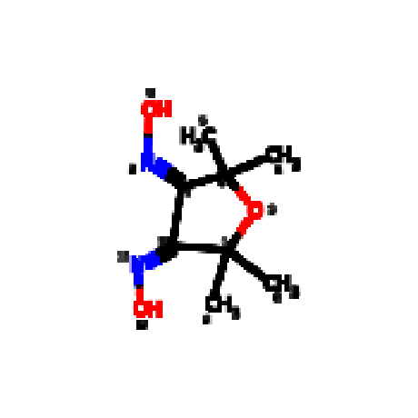 CC1(C)OC(C)(C)C(=NO)C1=NO